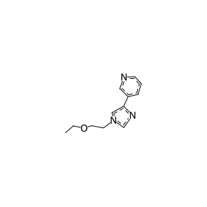 CCOCCn1cnc(-c2cccnc2)c1